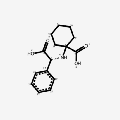 O=C(O)[C@H](NC1(C(=O)O)CCCCC1)c1ccccc1